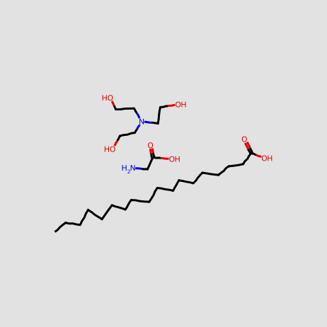 CCCCCCCCCCCCCCCCCC(=O)O.NCC(=O)O.OCCN(CCO)CCO